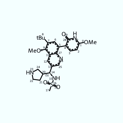 COc1ccc(-c2cc(C(C)(C)C)c(OC)c3cc([C@@H](NS(C)(=O)=O)C4CCNC4)cnc23)c(=O)[nH]1